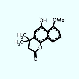 COc1cccc2c3c(cc(O)c12)C(C)(C)CC(=O)O3